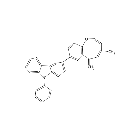 C=C1/C=C(C)\C=C/Oc2ccc(-c3ccc4c(c3)c3ccccc3n4-c3ccccc3)cc21